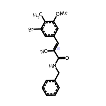 COc1cc(/C=C(\C#N)C(=O)NCc2ccccc2)cc(Br)c1C